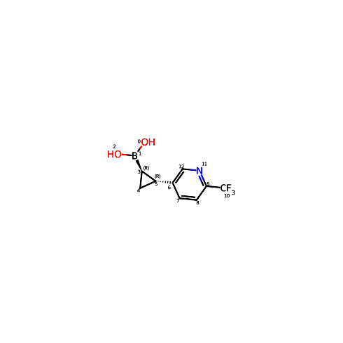 OB(O)[C@@H]1C[C@H]1c1ccc(C(F)(F)F)nc1